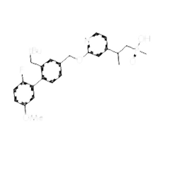 COc1ccc(F)c(-c2ccc(COc3cc(C(C)CP(C)(=O)O)ccn3)cc2CC(C)(C)C)c1